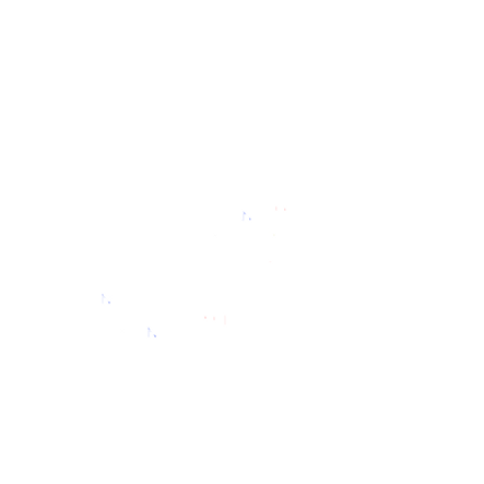 Cc1ccc(S(=O)(=O)n2c3ccccc3c3ccc(C(O)c4cncn4C(C)C)cc32)cc1